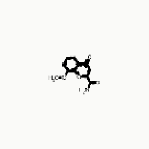 COc1cccc2c(=O)cc(C(N)=O)oc12